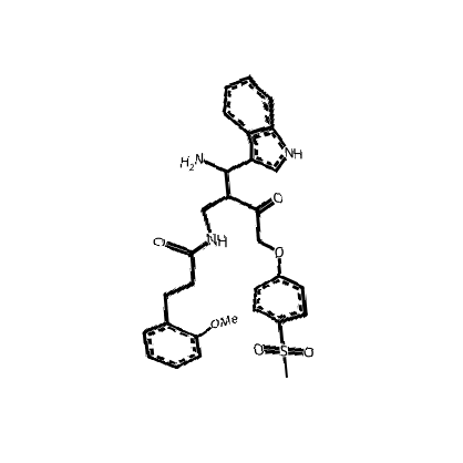 COc1ccccc1CCC(=O)NCC(C(=O)COc1ccc(S(C)(=O)=O)cc1)C(N)c1c[nH]c2ccccc12